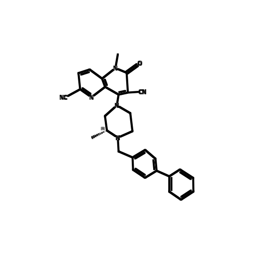 C[C@@H]1CN(c2c(C#N)c(=O)n(C)c3ccc(C#N)nc23)CCN1Cc1ccc(-c2ccccc2)cc1